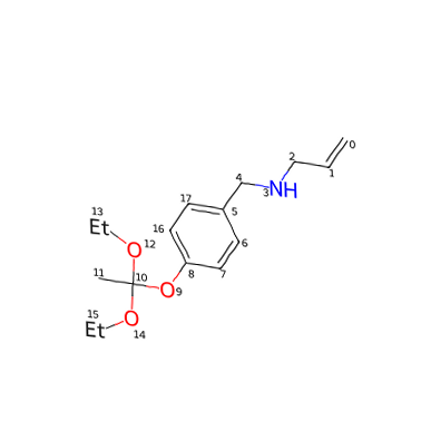 C=CCNCc1ccc(OC(C)(OCC)OCC)cc1